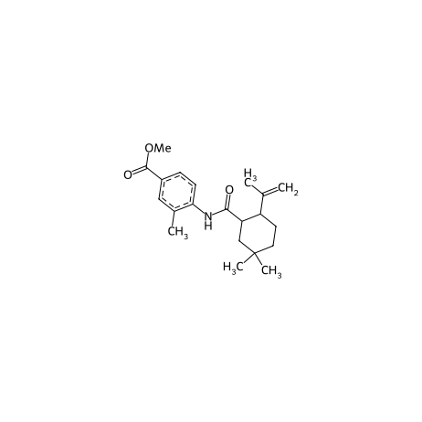 C=C(C)C1CCC(C)(C)CC1C(=O)Nc1ccc(C(=O)OC)cc1C